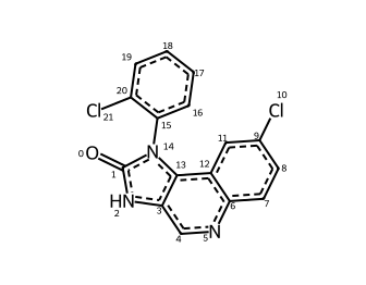 O=c1[nH]c2cnc3ccc(Cl)cc3c2n1-c1ccccc1Cl